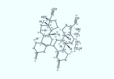 C#C[C@]1(O)CC[C@H]2[C@@H]3CCC4=C(CCC(=O)C4)[C@H]3CC[C@@]21C.C#C[C@]1(O)CC[C@H]2[C@@H]3CCC4=CC(=O)CC[C@@H]4[C@H]3CC[C@@]21C.CC(=O)O